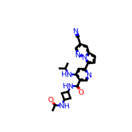 CC(=O)NC1CC(NC(=O)c2cnc(-c3ccc4cc(C#N)cnn34)cc2NC(C)C)C1